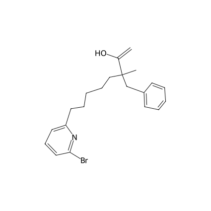 C=C(O)C(C)(CCCCCc1cccc(Br)n1)Cc1ccccc1